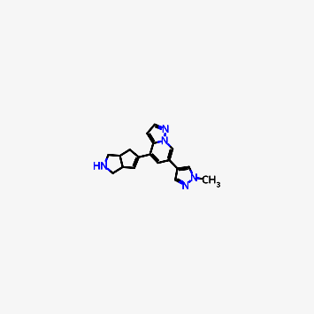 Cn1cc(-c2cc(C3=CC4CNCC4C3)c3ccnn3c2)cn1